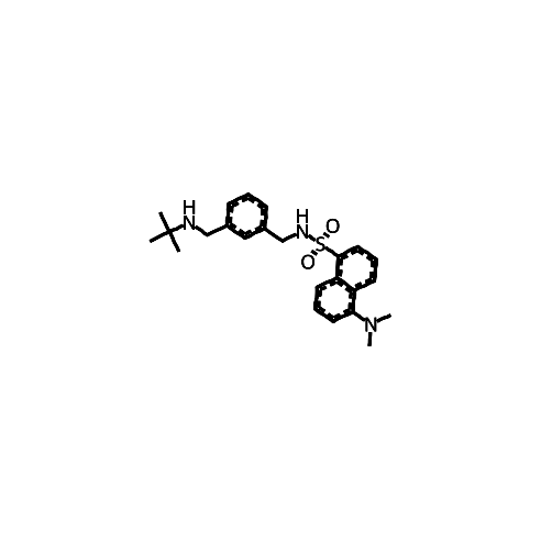 CN(C)c1cccc2c(S(=O)(=O)NCc3cccc(CNC(C)(C)C)c3)cccc12